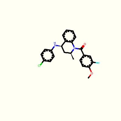 COc1ccc(C(=O)N2c3ccccc3[C@H](Nc3ccc(Cl)cc3)C[C@@H]2C)cc1F